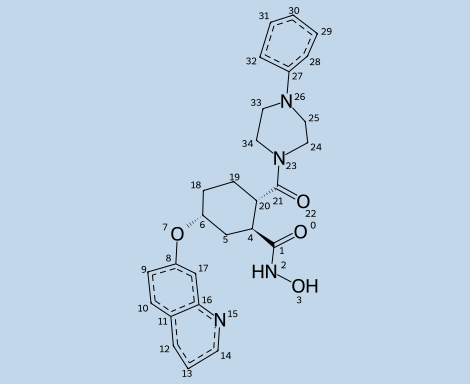 O=C(NO)[C@H]1C[C@H](Oc2ccc3cccnc3c2)CC[C@@H]1C(=O)N1CCN(c2ccccc2)CC1